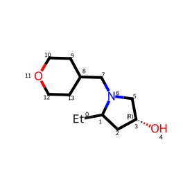 CCC1C[C@@H](O)CN1CC1CCOCC1